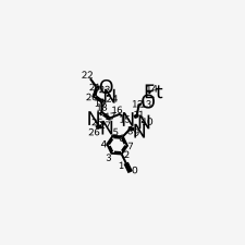 C#Cc1ccc2c(c1)-c1nnc(COCC)n1Cc1c(-c3cc(C)on3)ncn1-2